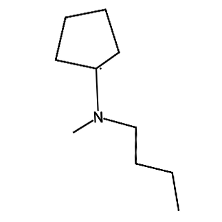 CCCCN(C)[C]1CCCC1